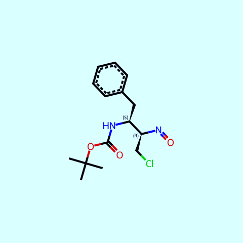 CC(C)(C)OC(=O)N[C@@H](Cc1ccccc1)[C@H](CCl)N=O